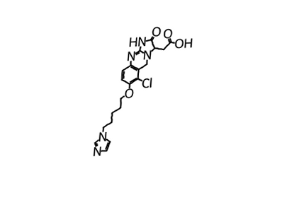 O=C(O)CC1C(=O)NC2=Nc3ccc(OCCCCCn4ccnc4)c(Cl)c3CN21